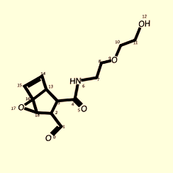 O=CC1C(C(=O)NCCOCCO)C2C=CC23OC13